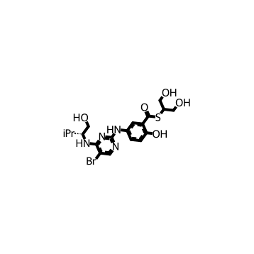 CC(C)[C@H](CO)Nc1nc(Nc2ccc(O)c(C(=O)SC(CO)CO)c2)ncc1Br